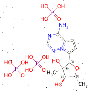 C[C@H]1O[C@@H](c2ccc3c(N)ncnn23)[C@](C)(O)[C@@H]1O.O=P(O)(O)O.O=P(O)(O)O.O=P(O)(O)O